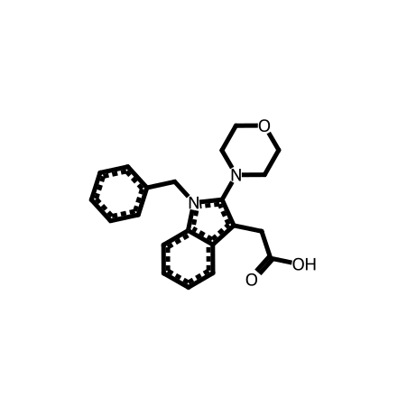 O=C(O)Cc1c(N2CCOCC2)n(Cc2ccccc2)c2ccccc12